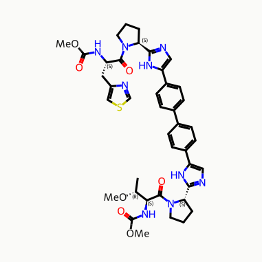 COC(=O)N[C@@H](Cc1cscn1)C(=O)N1CCC[C@H]1c1ncc(-c2ccc(-c3ccc(-c4cnc([C@@H]5CCCN5C(=O)[C@@H](NC(=O)OC)[C@@H](C)OC)[nH]4)cc3)cc2)[nH]1